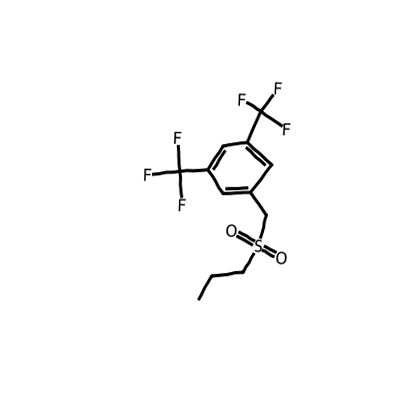 CCCS(=O)(=O)Cc1cc(C(F)(F)F)cc(C(F)(F)F)c1